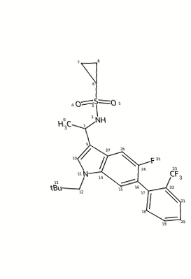 CC(NS(=O)(=O)C1CC1)c1cn(CC(C)(C)C)c2cc(-c3ccccc3C(F)(F)F)c(F)cc12